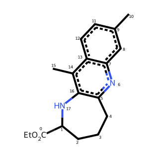 CCOC(=O)C1CCCc2nc3cc(C)ccc3c(C)c2N1